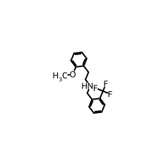 COc1ccccc1CCNCc1ccccc1C(F)(F)F